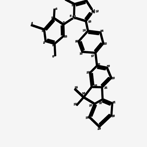 Cc1cc(C)c(C)c(-n2c(C)cnc2-c2ccc(-c3ccc4c(c3)C(C)(C)c3ccccc3-4)cc2)c1